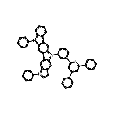 c1ccc(-c2cc(-c3ccccc3)nc(-c3cccc(-n4c5cc6ccn(-c7ccccc7)c6cc5c5cc6c(cc54)c4ccccc4n6-c4ccccc4)c3)c2)cc1